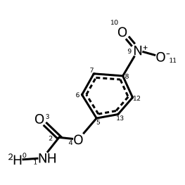 [2H]NC(=O)Oc1ccc([N+](=O)[O-])cc1